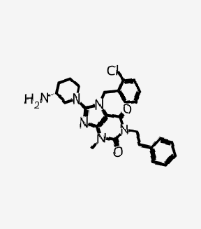 Cn1c(=O)n(CCc2ccccc2)c(=O)c2c1nc(N1CCC[C@@H](N)C1)n2Cc1ccccc1Cl